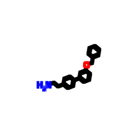 NCCc1ccc(-c2cccc(OCc3ccccc3)c2)cc1